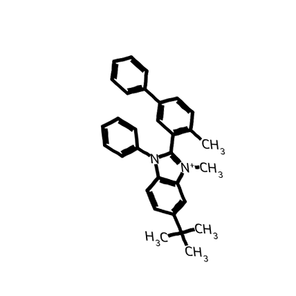 Cc1ccc(-c2ccccc2)cc1-c1n(-c2ccccc2)c2ccc(C(C)(C)C)cc2[n+]1C